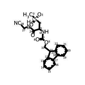 CS(=O)(=O)CC(NC(=O)OCC1c2ccccc2-c2ccccc21)C(=O)NCC#N